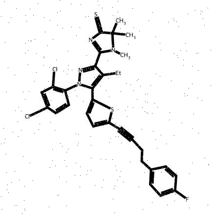 CCc1c(C2=NC(=S)C(C)(C)N2C)nn(-c2ccc(Cl)cc2Cl)c1-c1ccc(C#CCCc2ccc(F)cc2)s1